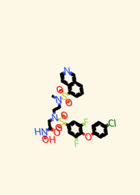 CN(CCN(CC(=O)NO)S(=O)(=O)c1cc(F)c(Oc2ccc(Cl)cc2)c(F)c1)S(=O)(=O)c1cccc2cnccc12